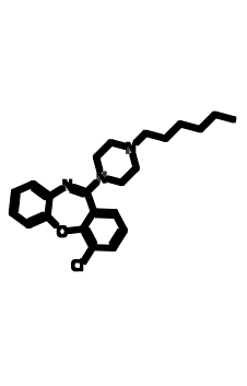 CCCCCCN1CCN(C2=Nc3ccccc3Oc3c(Cl)cccc32)CC1